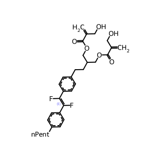 C=C(CO)C(=O)OCC(CCc1ccc(/C(F)=C(\F)c2ccc(CCCCC)cc2)cc1)COC(=O)C(=C)CO